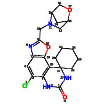 O=C1Nc2c(Cl)cc3nc(CN4CC5CC4CO5)oc3c2C2(CCCCC2)N1